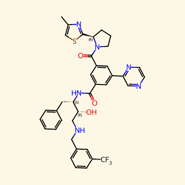 Cc1csc([C@H]2CCCN2C(=O)c2cc(C(=O)N[C@@H](Cc3ccccc3)[C@H](O)CNCc3cccc(C(F)(F)F)c3)cc(-c3cnccn3)c2)n1